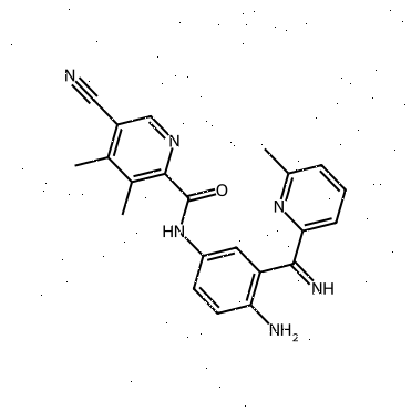 Cc1cccc(C(=N)c2cc(NC(=O)c3ncc(C#N)c(C)c3C)ccc2N)n1